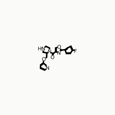 O=C(c1coc(-c2ccc(F)cc2)n1)N1CCNCC1COc1cccnc1